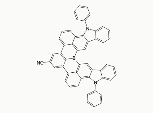 N#Cc1cc2c3c(c1)-c1cccc4c1c(cc1c5ccccc5n(-c5ccccc5)c41)B3c1cc3c4ccccc4n(-c4ccccc4)c3c3cccc-2c13